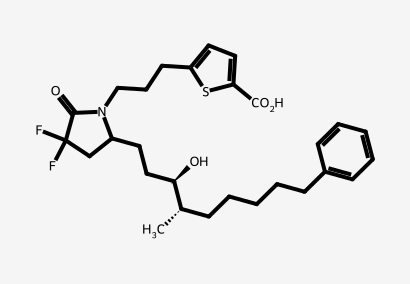 C[C@@H](CCCCCc1ccccc1)[C@H](O)CCC1CC(F)(F)C(=O)N1CCCc1ccc(C(=O)O)s1